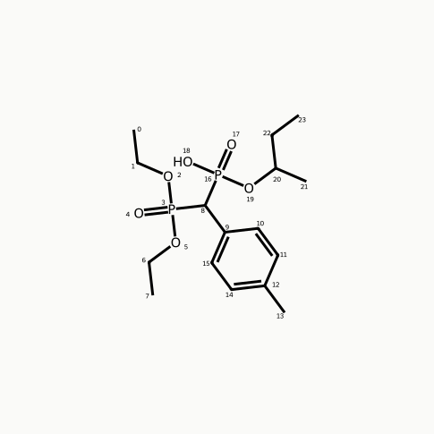 CCOP(=O)(OCC)C(c1ccc(C)cc1)P(=O)(O)OC(C)CC